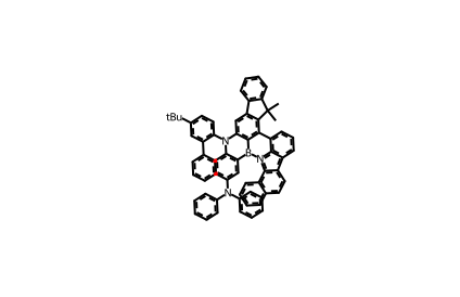 CC(C)(C)c1ccc(N2c3ccc(N(c4ccccc4)c4ccccc4)cc3B3c4c2cc2c(c4-c4cccc5c6ccc7ccccc7c6n3c45)C(C)(C)c3ccccc3-2)c(-c2ccccc2)c1